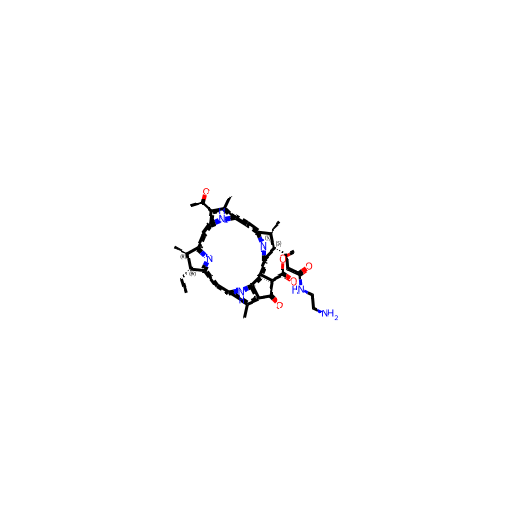 CC[C@H]1c2cc3[nH]c4c(c3C)C(=O)C(C(=O)OC)c4c3nc(cc4[nH]c(cc(n2)[C@@H]1C)c(C(C)=O)c4C)[C@@H](C)[C@@H]3CCC(=O)NCCN